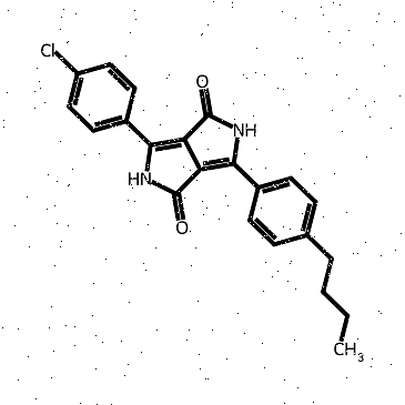 CCCCc1ccc(C2=C3C(=O)NC(c4ccc(Cl)cc4)=C3C(=O)N2)cc1